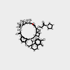 C[C@@H]1[C@@H](C)S(=O)(=O)NC(=O)c2ccc3c(c2)N(C[C@@H]2CC[C@H]2[C@@H](OCC(=O)N2CCCC2)C2=C[C@H]1C2)C[C@@]1(CCCc2c1ccc(Cl)c2F)CO3